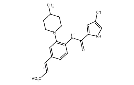 CC1CCN(c2cc(/C=C/C(=O)O)ccc2NC(=O)c2cc(C#N)c[nH]2)CC1